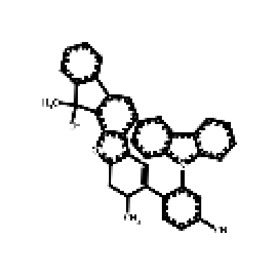 CC1Cc2oc3c4c(ccc3c2C=C1c1ccc(C#N)cc1-n1c2ccccc2c2ccccc21)-c1ccccc1C4(C)C